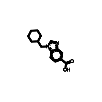 O=C(O)c1ccc2c(c1)ncn2CC1CCCCC1